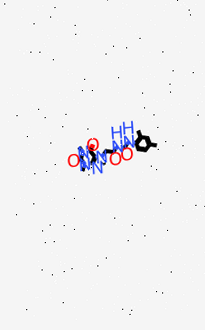 Cc1ccc(NC(=O)NC(=O)Cn2cnc3c2c(=O)n(C)c(=O)n3C)c(C)c1